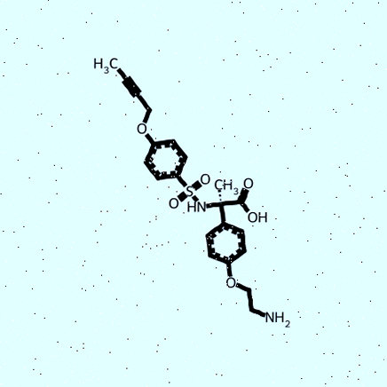 CC#CCOc1ccc(S(=O)(=O)N[C@@](C)(C(=O)O)c2ccc(OCCN)cc2)cc1